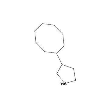 B1CCC(C2CCCCCCC2)C1